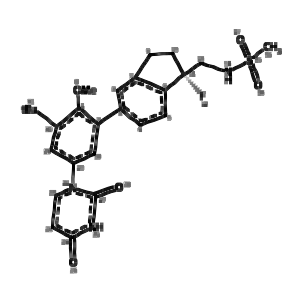 COc1c(-c2ccc3c(c2)CC[C@@]3(F)CNS(C)(=O)=O)cc(-n2ccc(=O)[nH]c2=O)cc1C(C)(C)C